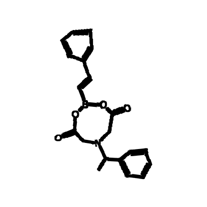 CC(c1ccccc1)N1CC(=O)OB(/C=C/c2ccccc2)OC(=O)C1